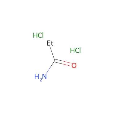 CCC(N)=O.Cl.Cl